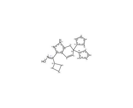 O/N=C(/c1n[nH]c2c1C=CC(c1cccs1)(c1cccs1)C2)C1CCC1